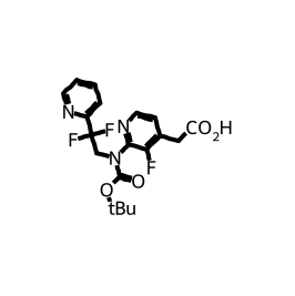 CC(C)(C)OC(=O)N(CC(F)(F)c1ccccn1)c1nccc(CC(=O)O)c1F